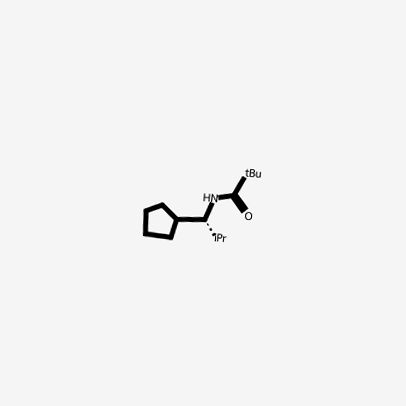 CC(C)[C@@H](NC(=O)C(C)(C)C)C1CCCC1